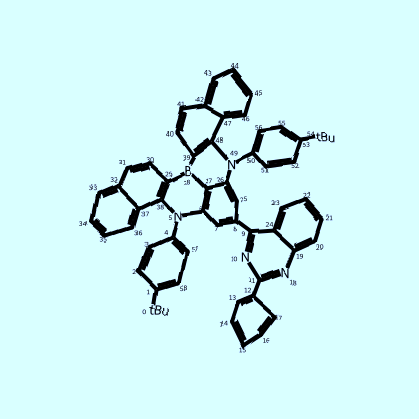 CC(C)(C)c1ccc(N2c3cc(-c4nc(-c5ccccc5)nc5ccccc45)cc4c3B(c3ccc5ccccc5c32)c2ccc3ccccc3c2N4c2ccc(C(C)(C)C)cc2)cc1